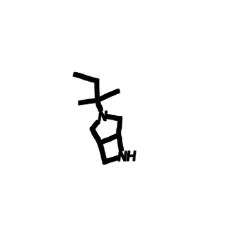 CCC(C)(C)N1CC2CNC2C1